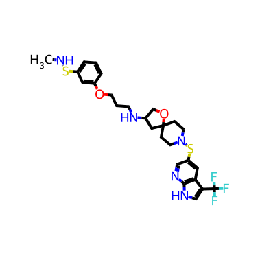 CNSc1cccc(OCCCNC2COC3(CCN(Sc4cnc5[nH]cc(C(F)(F)F)c5c4)CC3)C2)c1